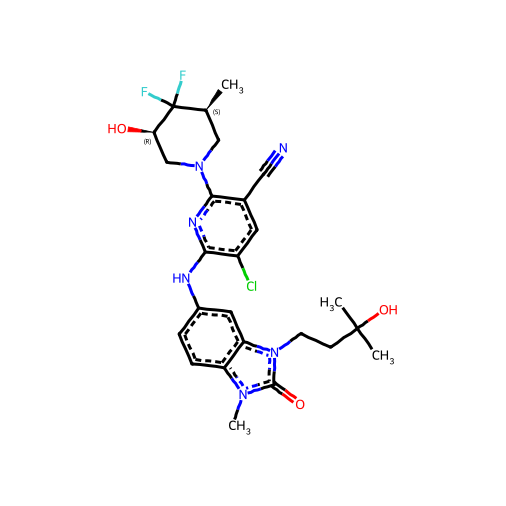 C[C@H]1CN(c2nc(Nc3ccc4c(c3)n(CCC(C)(C)O)c(=O)n4C)c(Cl)cc2C#N)C[C@@H](O)C1(F)F